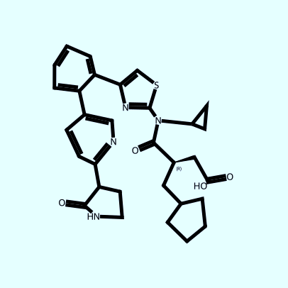 O=C(O)C[C@@H](CC1CCCC1)C(=O)N(c1nc(-c2ccccc2-c2ccc(C3CCNC3=O)nc2)cs1)C1CC1